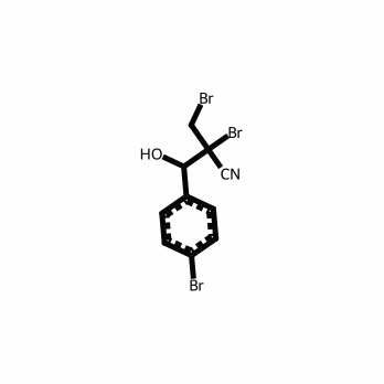 N#CC(Br)(CBr)C(O)c1ccc(Br)cc1